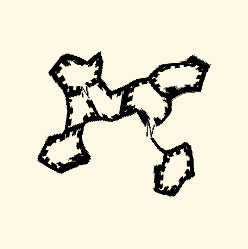 c1ccc(-n2c3ccccc3c3c2c2c4ccccc4c4cccc3n42)cc1